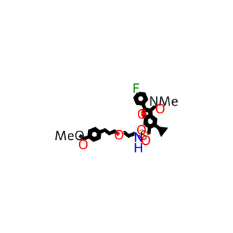 CNC(=O)c1c(-c2ccc(F)cc2)oc2cc(CS(=O)(=O)NCCCOCCCc3ccc(C(=O)OC)cc3)c(C3CC3)cc12